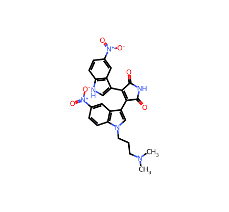 CN(C)CCCn1cc(C2=C(c3c[nH]c4ccc([N+](=O)[O-])cc34)C(=O)NC2=O)c2cc([N+](=O)[O-])ccc21